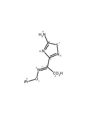 CC(C)O/N=C(\C(=O)O)c1nsc(N)n1